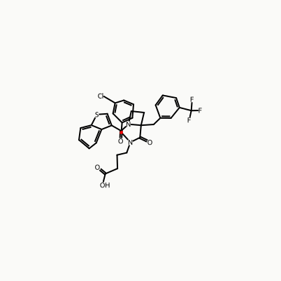 O=C(O)CCCN(Cc1cccc(Cl)c1)C(=O)C1(Cc2cccc(C(F)(F)F)c2)CCN1C(=O)c1csc2ccccc12